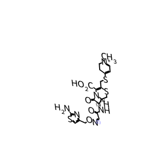 C[N+]1=CC=C(SCC2=C(C(=O)O)N3C(=O)[C@@H](NC(=O)/C=N\OCc4csc(N)n4)[C@H]3CS2)CC1